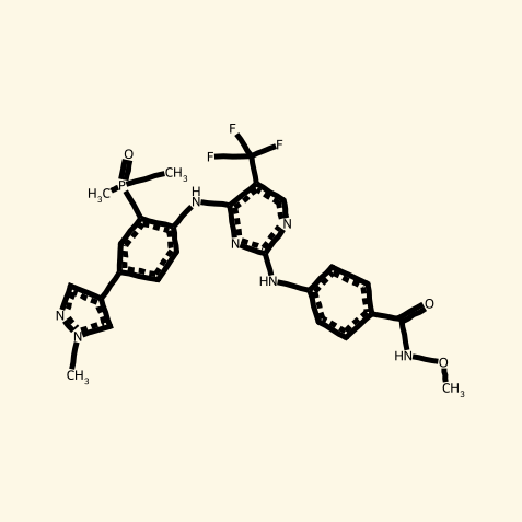 CONC(=O)c1ccc(Nc2ncc(C(F)(F)F)c(Nc3ccc(-c4cnn(C)c4)cc3P(C)(C)=O)n2)cc1